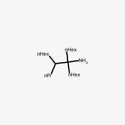 CCCCCCC(CCC)C(N)(CCCCCC)CCCCCC